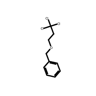 ClC(Cl)(Cl)[CH]COCc1ccccc1